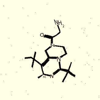 C[C@@H]1N=C(C(C)(C)C)N2CCN(C(=O)CN)CC2=C1C(C)(C)C